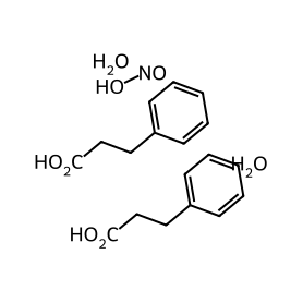 O.O.O=C(O)CCc1ccccc1.O=C(O)CCc1ccccc1.O=NO